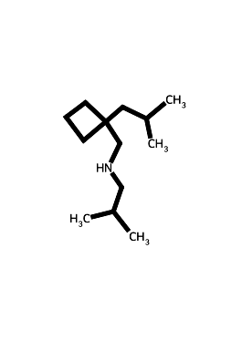 CC(C)CNCC1(CC(C)C)CCC1